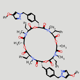 CC(C)C[C@H]1C(=O)O[C@H](Cc2ccc(Cn3cc(OC(C)C)cn3)cc2)C(=O)N(C)[C@@H](CC(C)C)C(=O)O[C@H](C)C(=O)N(C)[C@@H](CC(C)C)C(=O)O[C@H](Cc2ccc(Cn3cc(OC(C)C)cn3)cc2)C(=O)N(C)[C@@H](CC(C)C)C(=O)O[C@H](C)C(=O)N1C